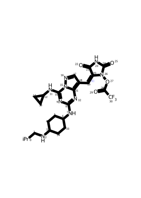 CC(C)CNC1CCC(Nc2nc(NC3CC3)n3ncc(/C=C4\C(=O)NC(=O)N4OC(=O)C(F)(F)F)c3n2)CC1